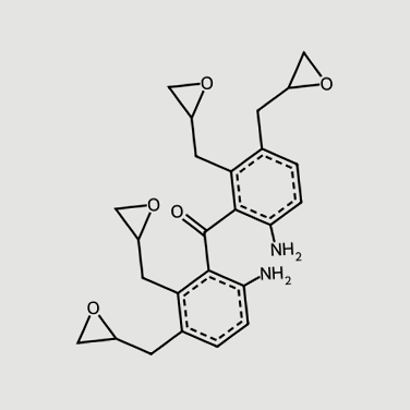 Nc1ccc(CC2CO2)c(CC2CO2)c1C(=O)c1c(N)ccc(CC2CO2)c1CC1CO1